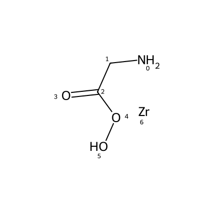 NCC(=O)OO.[Zr]